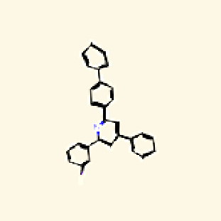 Ic1cccc(-c2cc(-c3ccccc3)cc(-c3ccc(-c4ccccc4)cc3)n2)c1